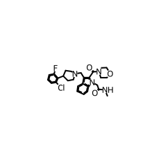 CNC(=O)Cn1c(C(=O)N2CCOCC2)c(CN2CCC(c3c(F)cccc3Cl)CC2)c2ccccc21